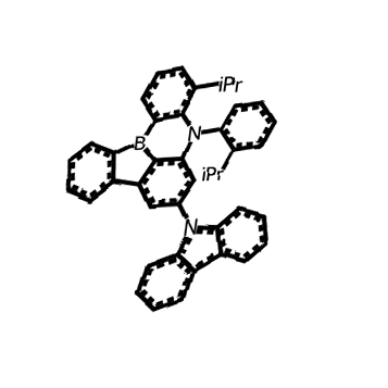 CC(C)c1ccccc1N1c2cc(-n3c4ccccc4c4ccccc43)cc3c2B(c2ccccc2-3)c2cccc(C(C)C)c21